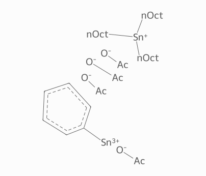 CC(=O)[O-].CC(=O)[O-].CC(=O)[O-].CC(=O)[O-].CCCCCCC[CH2][Sn+]([CH2]CCCCCCC)[CH2]CCCCCCC.[Sn+3][c]1ccccc1